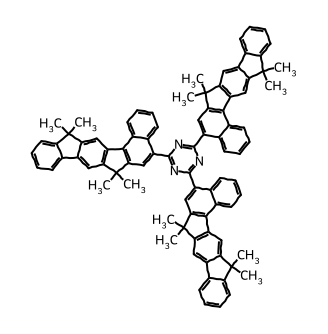 CC1(C)c2ccccc2-c2cc3c(cc21)-c1c(cc(-c2nc(-c4cc5c(c6ccccc46)-c4cc6c(cc4C5(C)C)-c4ccccc4C6(C)C)nc(-c4cc5c(c6ccccc46)-c4cc6c(cc4C5(C)C)-c4ccccc4C6(C)C)n2)c2ccccc12)C3(C)C